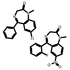 CN1C(=O)CN=C(c2ccccc2)c2cc(Cl)ccc21.CN1C(=O)CN=C(c2ccccc2F)c2cc([N+](=O)[O-])ccc21